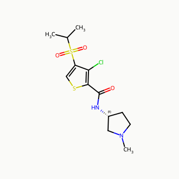 CC(C)S(=O)(=O)c1csc(C(=O)N[C@@H]2CCN(C)C2)c1Cl